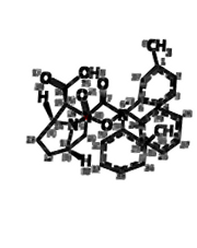 Cc1cccc(N(C(=O)N2C[C@@H]3CC[C@H]([C@H]2C(=O)O)N3C(=O)OCc2ccccc2)c2ccccc2C)c1